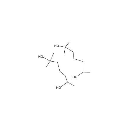 CC(O)CCCC(C)(C)O.CC(O)CCCC(C)(C)O